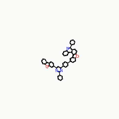 c1ccc(-c2nc(-c3ccc(-c4ccc5oc6ccc7c(-c8ccccc8)nc8ccccc8c7c6c5c4)cc3)cc(-c3ccc4c(c3)oc3ccccc34)n2)cc1